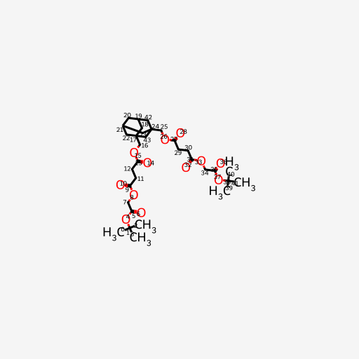 CC(C)(C)OC(=O)COC(=O)CCC(=O)OCC12CC3CC(C1)CC(COC(=O)CCC(=O)OCC(=O)OC(C)(C)C)(C3)C2